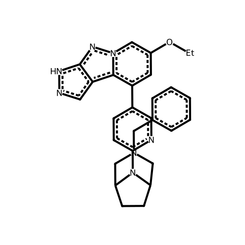 CCOc1cc(-c2ccc(N3C4CCC3CN(Cc3ccccc3)C4)nc2)c2c3cn[nH]c3nn2c1